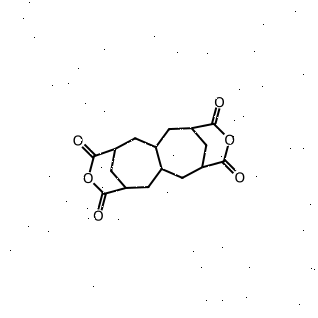 O=C1OC(=O)C2CC1CC1CC3CC(CC1C2)C(=O)OC3=O